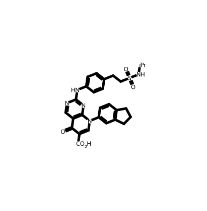 CC(C)NS(=O)(=O)CCc1ccc(Nc2ncc3c(=O)c(C(=O)O)cn(-c4ccc5c(c4)CCC5)c3n2)cc1